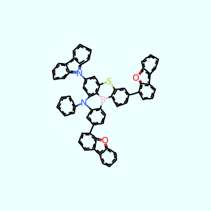 c1ccc(N2c3cc(-c4cccc5c4oc4ccccc45)ccc3B3c4ccc(-c5cccc6c5oc5ccccc56)cc4Sc4cc(-n5c6ccccc6c6ccccc65)cc2c43)cc1